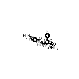 NC(=O)[C@@]1(CF)COc2c1cc(C(O)(CNC(=O)c1ccc3nc(N)sc3c1)C(F)(F)F)nc2-c1ccc(F)cc1